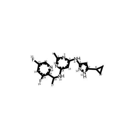 Cc1nc(Nc2cc(C3CC3)[nH]n2)cc(NC(C)c2ncc(F)cc2F)n1